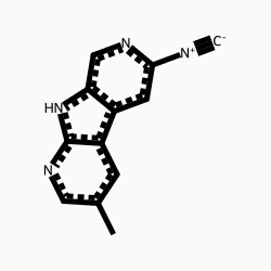 [C-]#[N+]c1cc2c(cn1)[nH]c1ncc(C)cc12